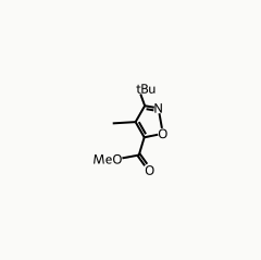 COC(=O)c1onc(C(C)(C)C)c1C